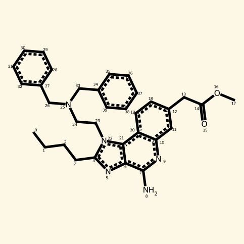 CCCCc1nc2c(N)nc3cc(CC(=O)OC)ccc3c2n1CCN(Cc1ccccc1)Cc1ccccc1